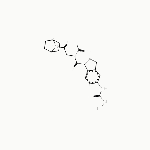 CNC(=O)Nc1ccc2c(c1)CC[C@@H]2C(=O)N(CC(=O)N1C2CCC1CC2)C(=O)O